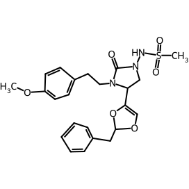 COc1ccc(CCN2C(=O)N(NS(C)(=O)=O)CC2C2=COC(Cc3ccccc3)O2)cc1